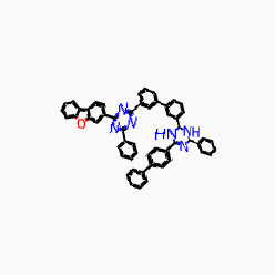 c1ccc(-c2ccc(C3=NC(c4ccccc4)NC(c4cccc(-c5cccc(-c6nc(-c7ccccc7)nc(-c7ccc8c(c7)oc7ccccc78)n6)c5)c4)N3)cc2)cc1